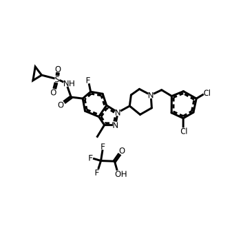 Cc1nn(C2CCN(Cc3cc(Cl)cc(Cl)c3)CC2)c2cc(F)c(C(=O)NS(=O)(=O)C3CC3)cc12.O=C(O)C(F)(F)F